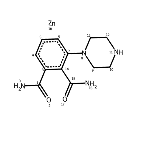 NC(=O)c1cccc(N2CCNCC2)c1C(N)=O.[Zn]